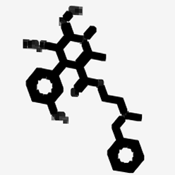 CCOC(=O)C1C(=NO)N(C)C(C)=C(C(=O)OCCN(C)Cc2ccccc2)C1c1cccc([N+](=O)[O-])c1